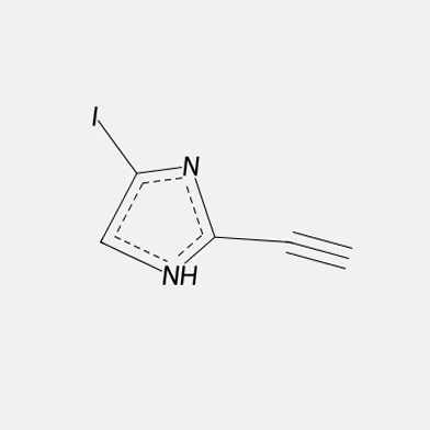 C#Cc1nc(I)c[nH]1